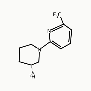 [2H][C@@H]1CCCN(c2cccc(C(F)(F)F)n2)C1